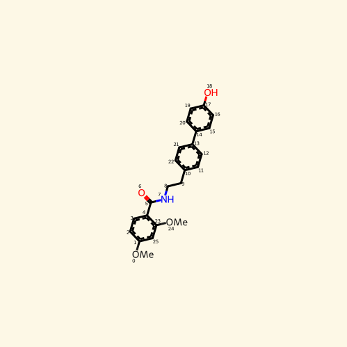 COc1ccc(C(=O)NCCc2ccc(-c3ccc(O)cc3)cc2)c(OC)c1